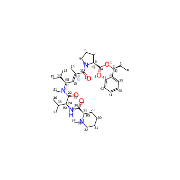 CC[C@H](OC(=O)[C@@H]1CCCN1C(=O)/C(C)=C/[C@H](C(C)C)N(C)C(=O)[C@@H](NC(=O)[C@H]1CCCCN1C)C(C)C)c1ccccc1